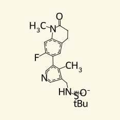 Cc1c(CN[S@+]([O-])C(C)(C)C)cncc1-c1cc2c(cc1F)N(C)C(=O)CC2